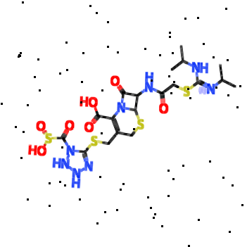 CC(C)/N=C(\NC(C)C)SCC(=O)NC1C(=O)N2C(C(=O)O)=C(CSC3=NNNN3C(=O)S(=O)O)CSC12